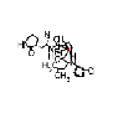 CC(C)C[C@H](Nc1cccc(Cl)c1)C(=O)N1[C@@H]2CC[C@H]([C@@H]1C(=O)N[C@@H](C#N)C[C@H]1CCCNC1=O)C(F)(F)C2